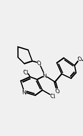 COc1ccc(C(=O)N(OC2CCCC2)c2c(Cl)cncc2Cl)cc1